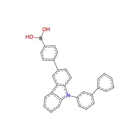 OB(O)c1ccc(-c2ccc3c(c2)c2ccccc2n3-c2cccc(-c3ccccc3)c2)cc1